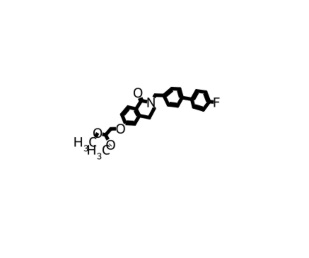 COC(COc1ccc2c(c1)CCN(Cc1ccc(-c3ccc(F)cc3)cc1)C2=O)OC